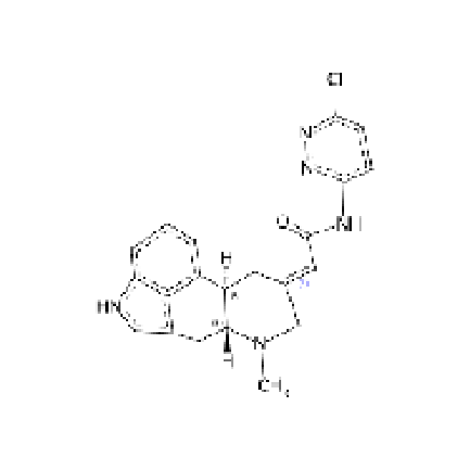 CN1C/C(=C/C(=O)Nc2ccc(Cl)nn2)C[C@@H]2c3cccc4[nH]cc(c34)C[C@H]21